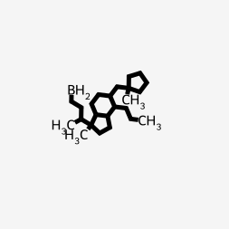 BCCC(C)C1(C)CCC2C(CCC)C(CC3(C)CCCC3)CCC21